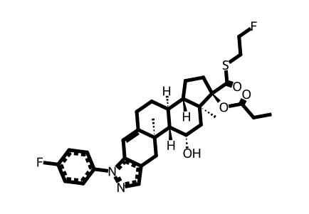 CCC(=O)O[C@]1(C(=O)SCCF)CC[C@H]2[C@@H]3CCC4=Cc5c(cnn5-c5ccc(F)cc5)C[C@]4(C)[C@H]3[C@@H](O)C[C@@]21C